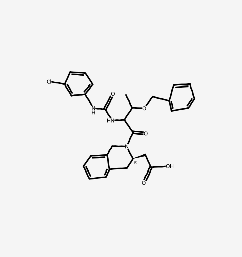 CC(OCc1ccccc1)C(NC(=O)Nc1cccc(Cl)c1)C(=O)N1Cc2ccccc2C[C@@H]1CC(=O)O